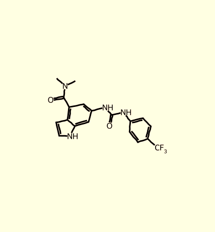 CN(C)C(=O)c1cc(NC(=O)Nc2ccc(C(F)(F)F)cc2)cc2[nH]ccc12